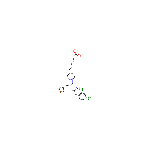 N=C(Cc1ccc(Cl)cc1Cl)C[C@H](Cc1ccsc1)CN1CCC(CCCCCC(=O)O)CC1